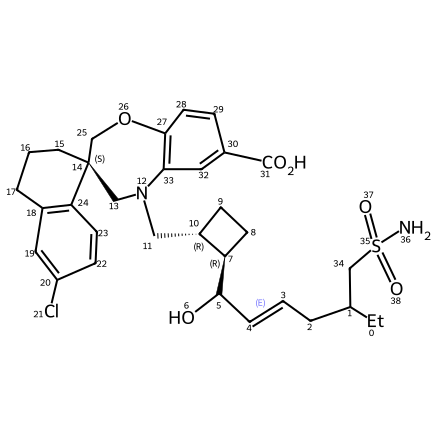 CCC(C/C=C/C(O)[C@@H]1CC[C@H]1CN1C[C@@]2(CCCc3cc(Cl)ccc32)COc2ccc(C(=O)O)cc21)CS(N)(=O)=O